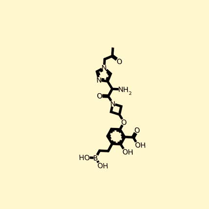 CC(=O)Cn1cnc(C(N)C(=O)N2CC(Oc3ccc(CCB(O)O)c(O)c3C(=O)O)C2)c1